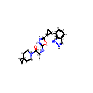 C[C@@H](Nc1nnc([C@H]2C[C@H]2c2cccc3cn[nH]c23)o1)C(=O)N1CCC2(CC1)CC2